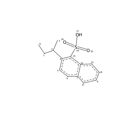 CCC(C)c1ccc2ccccc2c1S(=O)(=O)O